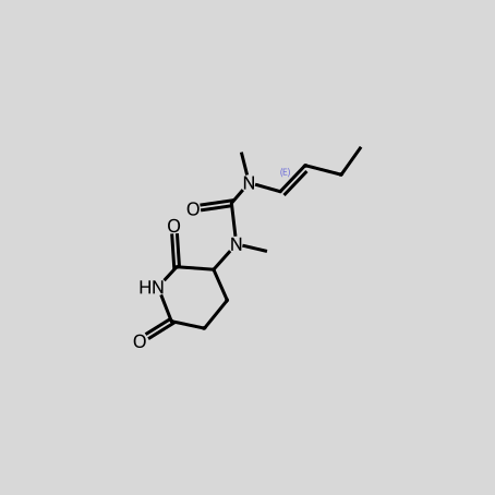 CC/C=C/N(C)C(=O)N(C)C1CCC(=O)NC1=O